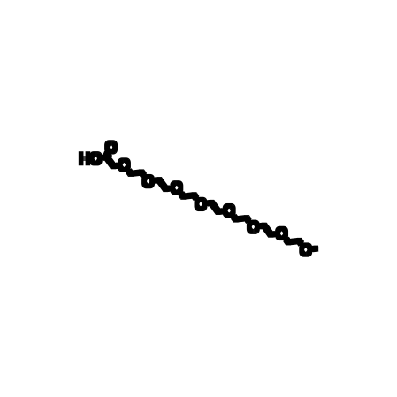 COCCOCCOCCOCCOCCOCCOCCOCC(=O)O